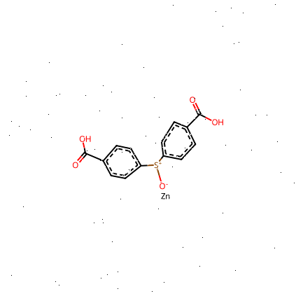 O=C(O)c1ccc([S+]([O-])c2ccc(C(=O)O)cc2)cc1.[Zn]